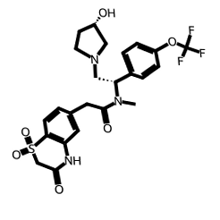 CN(C(=O)Cc1ccc2c(c1)NC(=O)CS2(=O)=O)[C@H](CN1CC[C@H](O)C1)c1ccc(OC(F)(F)F)cc1